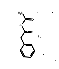 NC(=O)NC(=O)Cc1ccccc1.[Pt]